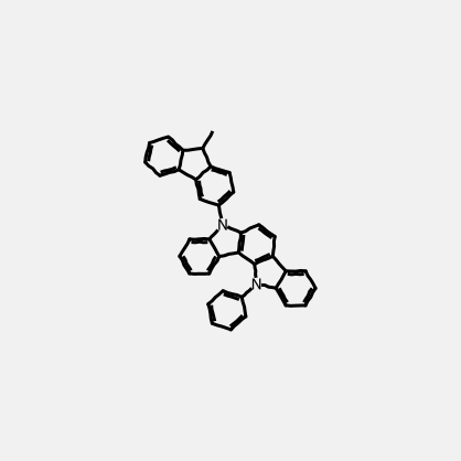 CC1c2ccccc2-c2cc(-n3c4ccccc4c4c3ccc3c5ccccc5n(-c5ccccc5)c34)ccc21